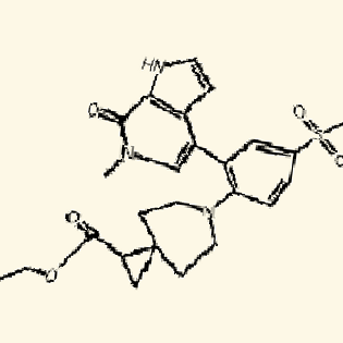 CCOC(=O)C1CC12CCN(c1ccc(S(C)(=O)=O)cc1-c1cn(C)c(=O)c3[nH]ccc13)CC2